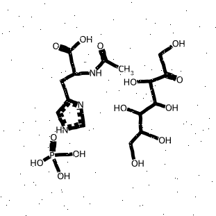 CC(=O)NC(Cc1c[nH]cn1)C(=O)O.O=C(CO)C(O)C(O)C(O)C(O)CO.O=P(O)(O)O